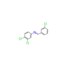 Clc1cccc(C=Nc2ccc(Cl)c(Cl)c2)c1